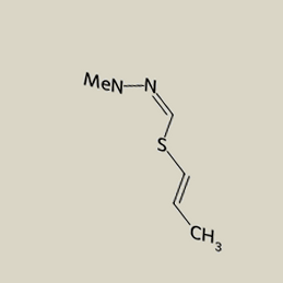 C/C=C/S/C=N\NC